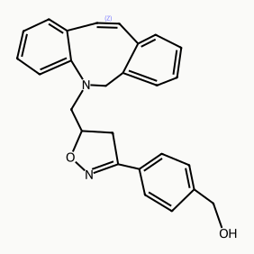 OCc1ccc(C2=NOC(CN3Cc4ccccc4/C=C\c4ccccc43)C2)cc1